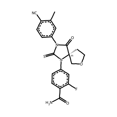 Cc1cc(N2C(=O)[C@]3(CCOC3)N(c3ccc(C(N)=O)c(F)c3)C2=S)ccc1C#N